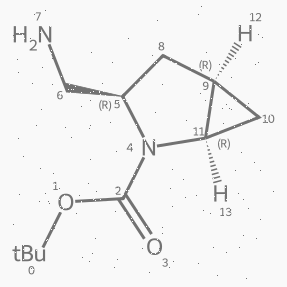 CC(C)(C)OC(=O)N1[C@@H](CN)C[C@H]2C[C@H]21